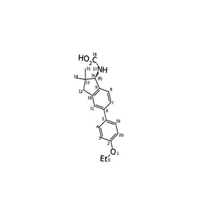 CCOc1ccc(-c2ccc3c(c2)CC(C)(C)[C@H]3NC(=O)O)cc1